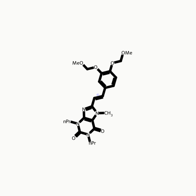 CCCn1c(=O)c2c(nc(/C=C/c3ccc(OCOC)c(OCOC)c3)n2C)n(CCC)c1=O